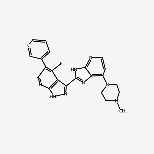 CN1CCN(c2ccnc3[nH]c(-c4n[nH]c5ncc(-c6cccnc6)c(F)c45)nc23)CC1